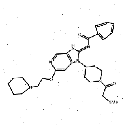 CNCC(=O)N1CCC(n2/c(=N/C(=O)c3ccccc3)[nH]c3cnc(OCCN4CCCCC4)cc32)CC1